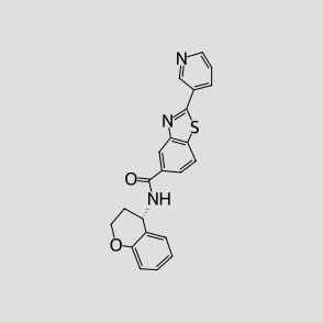 O=C(N[C@H]1CCOc2ccccc21)c1ccc2sc(-c3cccnc3)nc2c1